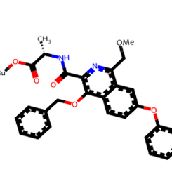 COCc1nc(C(=O)N[C@@H](C)C(=O)OC(C)(C)C)c(OCc2ccccc2)c2ccc(Oc3ccccc3)cc12